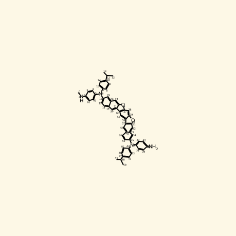 CNc1ccc(N(c2ccc(C(C)C)cc2)c2ccc3cc4c(cc3c2)oc2cc3oc5cc6cc(N(c7ccc(N)cc7)c7ccc(C(C)C)cc7)ccc6cc5c3cc24)cc1